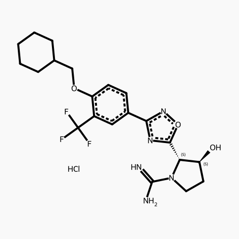 Cl.N=C(N)N1CC[C@H](O)[C@H]1c1nc(-c2ccc(OCC3CCCCC3)c(C(F)(F)F)c2)no1